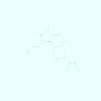 Cc1cc2c(cc1-c1c(C)noc1C)ncc1[nH]c(=O)n(CCN)c12